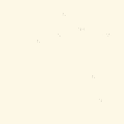 COc1cc(N2CCN(C)CC2)ccc1Nc1ncc2c(n1)N(C1CCCC1)CC(C)=C2